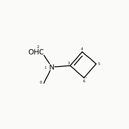 CN(C=O)C1=CC[CH]1